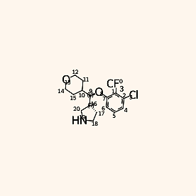 FC(F)(F)c1c(Cl)cccc1O[C@H](C1CCOCC1)[C@@H]1CCNC1